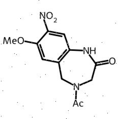 COc1cc2c(cc1[N+](=O)[O-])NC(=O)CN(C(C)=O)C2